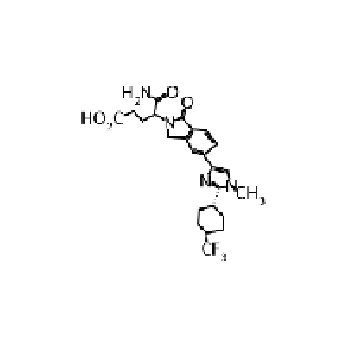 Cn1cc(-c2ccc3c(c2)CN(C(CCC(=O)O)C(N)=O)C3=O)nc1[C@H]1CC[C@H](C(F)(F)F)CC1